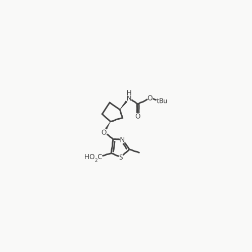 Cc1nc(O[C@H]2CC[C@@H](NC(=O)OC(C)(C)C)C2)c(C(=O)O)s1